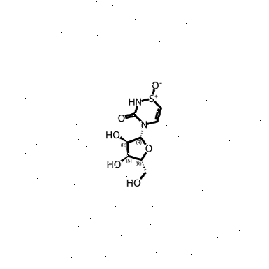 O=C1N[S+]([O-])C=CN1[C@@H]1O[C@H](CO)[C@@H](O)[C@H]1O